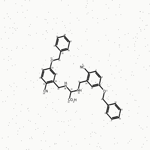 N#Cc1ccc(OCc2ccccc2)cc1CNC(NCc1cc(OCc2ccccc2)ccc1C#N)C(=O)O